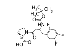 CC(C)(C)OC(=O)NC(CC(=O)N1CCS[C@H]1C(=O)O)Cc1cc(F)c(F)cc1F